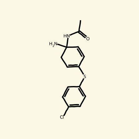 CC(=O)NC1(N)C=CC(Sc2ccc(Cl)cc2)=CC1